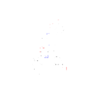 CS(=O)(=O)c1ccccc1C(=O)N1CC(=O)C2C1CCN2C(=O)[C@H](Cc1ccc(O)cc1)NC(=O)c1cccc(CN)c1